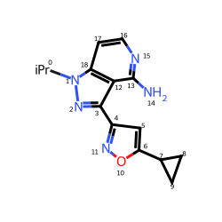 CC(C)n1nc(-c2cc(C3CC3)on2)c2c(N)nccc21